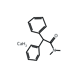 CN(C)C(=O)C(c1ccccc1)c1ccccc1.[CaH2]